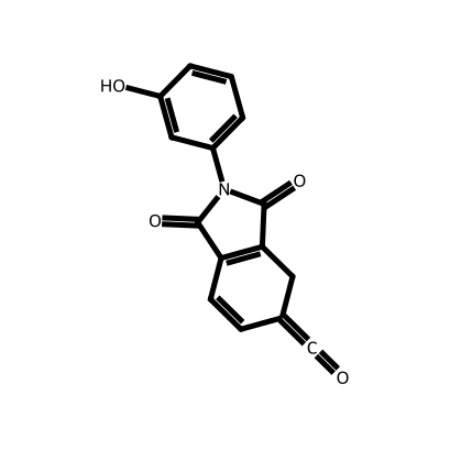 O=C=C1C=CC2=C(C1)C(=O)N(c1cccc(O)c1)C2=O